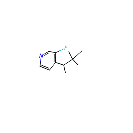 CC(c1ccncc1F)C(C)(C)C